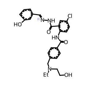 CCN(CCO)Cc1ccc(C(=O)Nc2ccc(Cl)cc2C(=O)N/N=C/c2cccc(O)c2)cc1